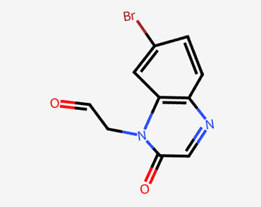 O=CCn1c(=O)cnc2ccc(Br)cc21